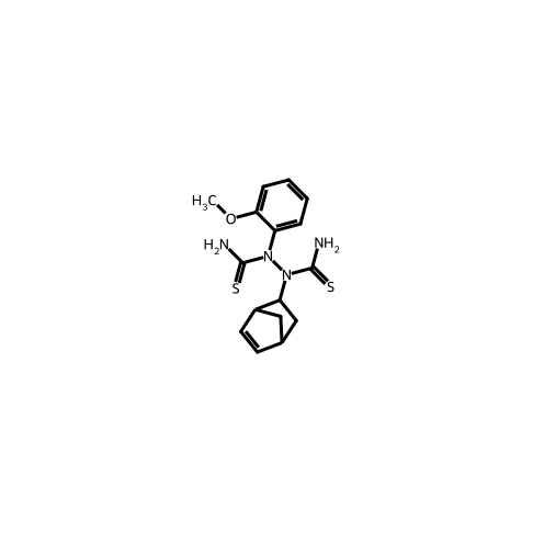 COc1ccccc1N(C(N)=S)N(C(N)=S)C1CC2C=CC1C2